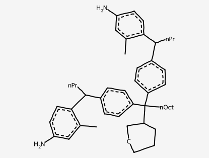 CCCCCCCCC(c1ccc(C(CCC)c2ccc(N)cc2C)cc1)(c1ccc(C(CCC)c2ccc(N)cc2C)cc1)C1CCCCC1